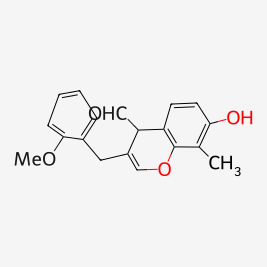 COc1ccccc1CC1=COc2c(ccc(O)c2C)C1C=O